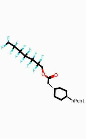 CCCCC[C@H]1CC[C@H](CC(=O)OCC(F)(F)C(F)(F)C(F)(F)C(F)(F)C(F)(F)C(F)F)CC1